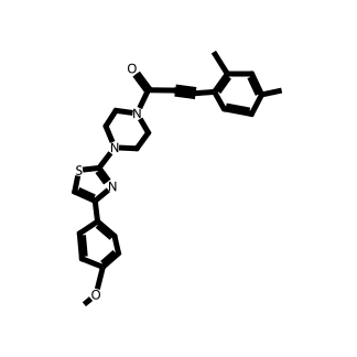 COc1ccc(-c2csc(N3CCN(C(=O)C#Cc4ccc(C)cc4C)CC3)n2)cc1